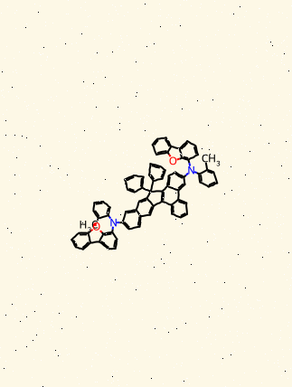 Cc1ccccc1N(c1ccc2cc3c(cc2c1)C(c1ccccc1)(c1ccccc1)c1c-3c2ccccc2c2cc(N(c3ccccc3C)c3cccc4c3oc3ccccc34)ccc12)c1cccc2c1oc1ccccc12